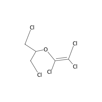 ClCC(CCl)OC(Cl)=C(Cl)Cl